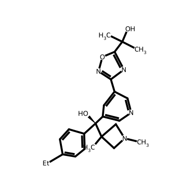 CCc1ccc([C@](O)(c2cncc(-c3noc(C(C)(C)O)n3)c2)C2(C)CN(C)C2)cc1